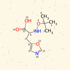 CC(C)(C)ONC(Cc1cnco1)C(=O)O